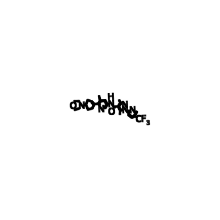 Cc1cc(NC(=O)c2c(C)nn(-c3ccc(C(F)(F)F)cn3)c2C)cnc1C1=CCC(N2CCOCC2)CC1